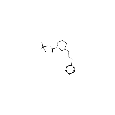 CC(C)(C)OC(=O)N1CCCC(CCNc2ccccc2)C1